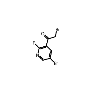 O=C(CBr)c1cc(Br)cnc1F